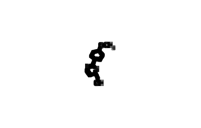 COC1CC=C(c2nccc(CO)n2)CC1